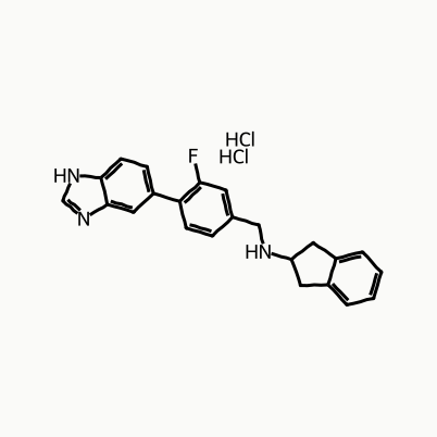 Cl.Cl.Fc1cc(CNC2Cc3ccccc3C2)ccc1-c1ccc2[nH]cnc2c1